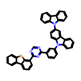 c1cc(-c2ncnc(-c3cccc4c3sc3ccccc34)n2)cc(-n2c3ccccc3c3cc(-n4c5ccccc5c5ccccc54)ccc32)c1